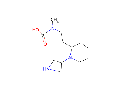 CN(CCC1CCCCN1C1CNC1)C(=O)O